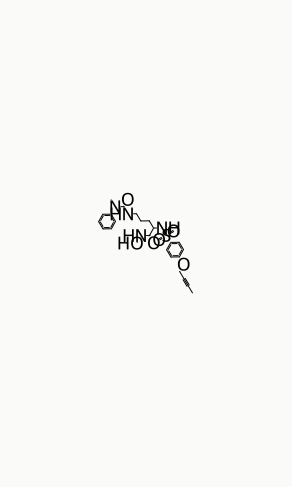 CC#CCOc1ccc(S(=O)(=O)NC(CCCNC(=O)N(C)c2ccccc2)C(=O)NO)cc1